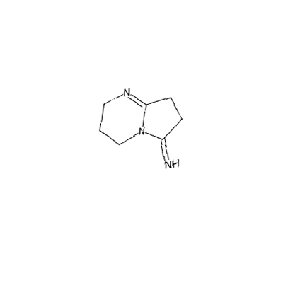 N=C1CCC2=NCCCN12